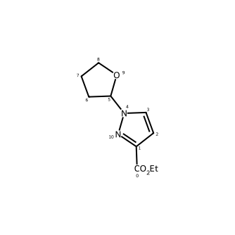 CCOC(=O)c1ccn(C2CCCO2)n1